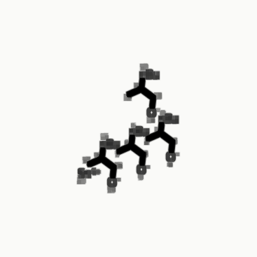 CCCCC(C)C[O-].CCCCC(C)C[O-].CCCCC(C)C[O-].CCCCC(C)C[O-].[Sn+4]